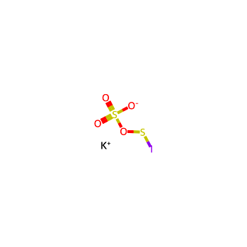 O=S(=O)([O-])OSI.[K+]